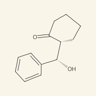 O=C1CCCC[C@@H]1[C@H](O)c1ccccc1